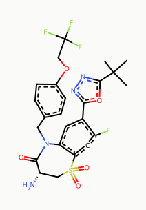 CC(C)(C)c1nnc(-c2cc3c(cc2F)S(=O)(=O)C[C@H](N)C(=O)N3Cc2ccc(OCC(F)(F)F)cc2)o1